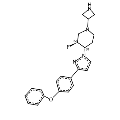 F[C@H]1CN(C2CNC2)CC[C@@H]1n1ccc(-c2ccc(Oc3ccccc3)cc2)n1